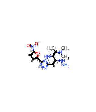 CC(=C1Nn2c(nnc2-c2ccc([N+](=O)[O-])o2)C=C1NN)N(C)C